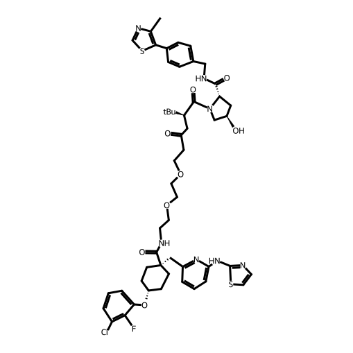 Cc1ncsc1-c1ccc(CNC(=O)[C@@H]2C[C@@H](O)CN2C(=O)[C@@H](CC(=O)CCOCCOCCNC(=O)[C@]2(Cc3cccc(Nc4nccs4)n3)CC[C@@H](Oc3cccc(Cl)c3F)CC2)C(C)(C)C)cc1